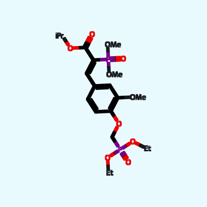 CCOP(=O)(COc1ccc(C=C(C(=O)OC(C)C)P(=O)(OC)OC)cc1OC)OCC